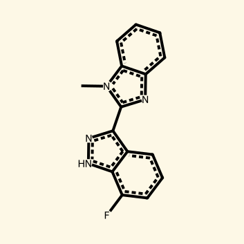 Cn1c(-c2n[nH]c3c(F)cccc23)nc2ccccc21